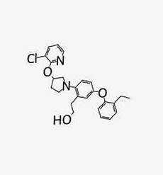 CCc1ccccc1Oc1ccc(N2CCC(Oc3ncccc3Cl)C2)c(CCO)c1